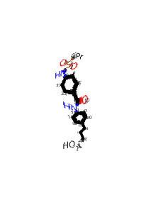 CC(C)S(=O)(=O)NC1CCC(C(=O)Nc2ccc(CCCC(=O)O)cc2)CC1